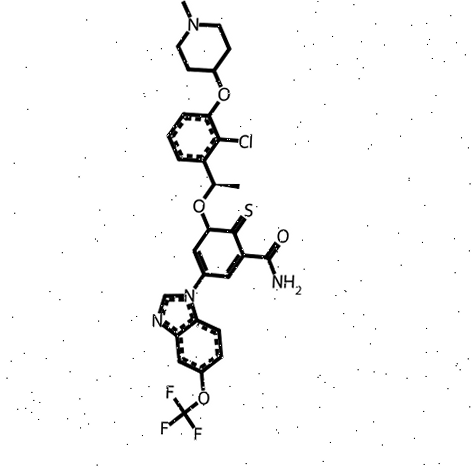 C[C@@H](OC1C=C(n2cnc3cc(OC(F)(F)F)ccc32)C=C(C(N)=O)C1=S)c1cccc(OC2CCN(C)CC2)c1Cl